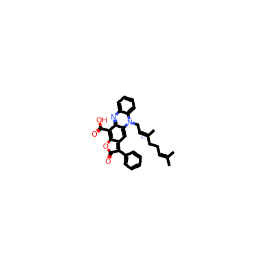 CC(C)=CCC/C(C)=C/Cn1c2ccccc2nc2c(C(=O)O)c3oc(=O)c(-c4ccccc4)c3cc21